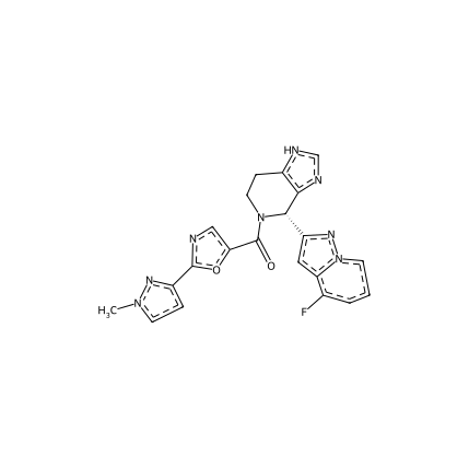 Cn1ccc(-c2ncc(C(=O)N3CCc4[nH]cnc4[C@@H]3c3cc4c(F)cccn4n3)o2)n1